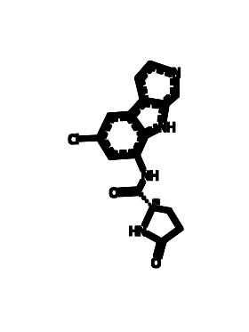 O=C1CC[C@@H](C(=O)Nc2cc(Cl)cc3c2[nH]c2cnccc23)N1